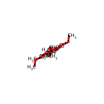 CCCCCCCC/C=C\CCCCCCCC(=O)Oc1ccc(CC(=O)OCCOC(=O)C(CSSCC(NC(=O)CN(C)CCC)C(=O)OCCOC(=O)Cc2ccc(OC(=O)CCCCCCC/C(C)=C\CCCCCCCC)cc2)NC(=O)CN(C)CCC)cc1